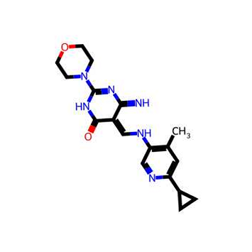 Cc1cc(C2CC2)ncc1N/C=C1\C(=N)N=C(N2CCOCC2)NC1=O